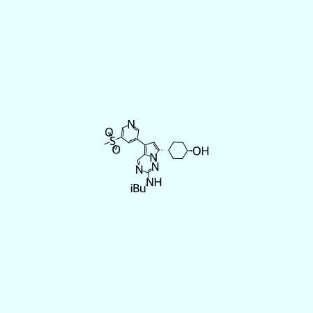 CC[C@H](C)Nc1ncc2c(-c3cncc(S(C)(=O)=O)c3)cc([C@H]3CC[C@H](O)CC3)n2n1